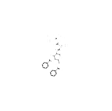 CN(C(=O)OC(C)(C)C)C1=NC2C(OC(COC(=O)c3ccccc3)C(OC(=O)c3ccccc3)C2F)S1